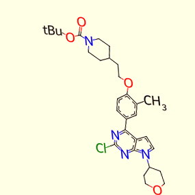 Cc1cc(-c2nc(Cl)nc3c2ccn3C2CCOCC2)ccc1OCCC1CCN(C(=O)OC(C)(C)C)CC1